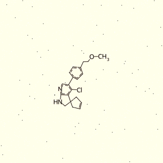 COCCc1ccc(-c2cnc3c(c2Cl)C2(CC=CC2)CN3)cc1